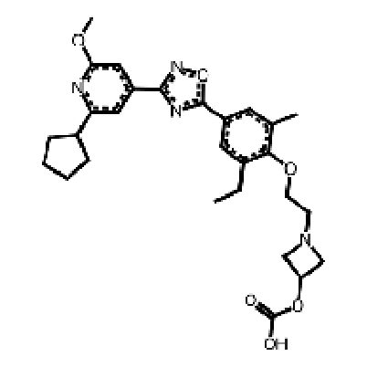 CCc1cc(-c2nc(-c3cc(OC)nc(C4CCCC4)c3)no2)cc(C)c1OCCN1CC(OC(=O)O)C1